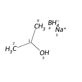 CC(C)O.[BH4-].[Na+]